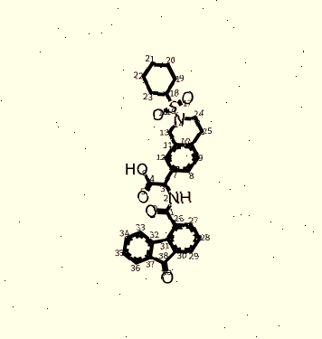 O=C(NC(C(=O)O)c1ccc2c(c1)CN(S(=O)(=O)C1CCCCC1)CC2)c1cccc2c1-c1ccccc1C2=O